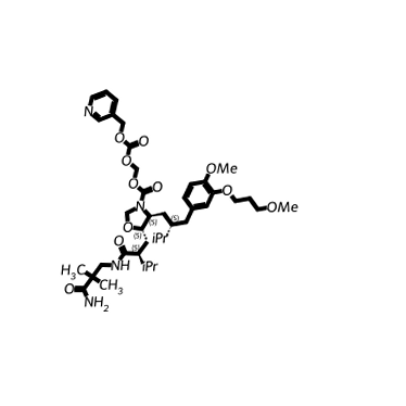 COCCCOc1cc(C[C@@H](C[C@H]2[C@H](C[C@H](C(=O)NCC(C)(C)C(N)=O)C(C)C)OCN2C(=O)OCOC(=O)OCc2cccnc2)C(C)C)ccc1OC